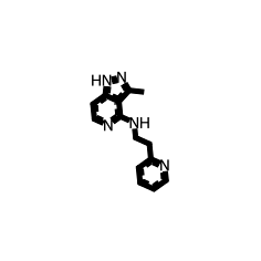 Cc1n[nH]c2ccnc(NCCc3ccccn3)c12